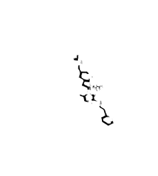 CC(=O)NCc1cnc2[nH]c(-n3c(C)cnc(NCCc4ccccn4)c3=O)cc2c1.Cl.Cl.Cl